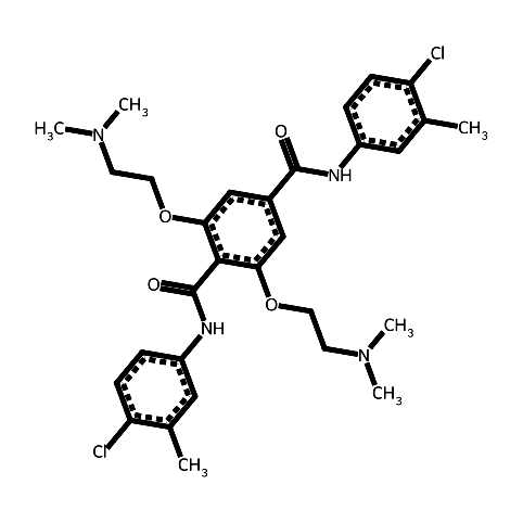 Cc1cc(NC(=O)c2cc(OCCN(C)C)c(C(=O)Nc3ccc(Cl)c(C)c3)c(OCCN(C)C)c2)ccc1Cl